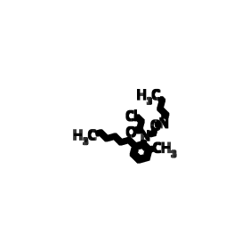 CCC/C=N\OCN(C(=O)CCl)c1c(C)cccc1CCCCCC